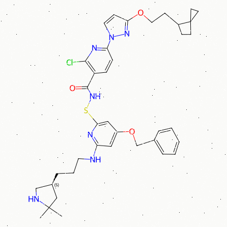 CC1(C)C[C@H](CCCNc2cc(OCc3ccccc3)cc(SNC(=O)c3ccc(-n4ccc(OCCC5CCC56CC6)n4)nc3Cl)n2)CN1